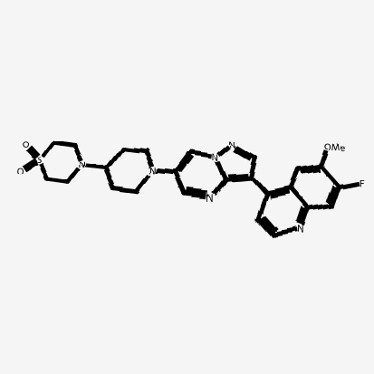 COc1cc2c(-c3cnn4cc(N5CCC(N6CCS(=O)(=O)CC6)CC5)cnc34)ccnc2cc1F